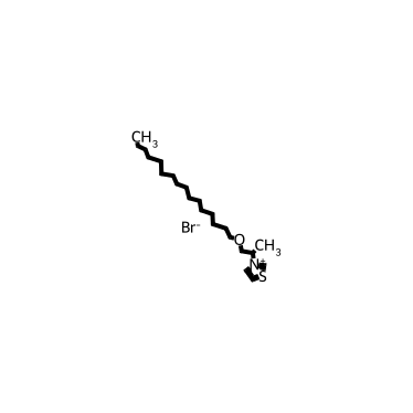 CCCCCCCCCCCCCCCCOCC(C)[n+]1ccsc1.[Br-]